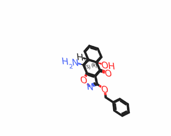 N[C@@H]1c2onc(OCc3ccccc3)c2C(=O)[C@@]2(O)CC=CC[C@@H]12